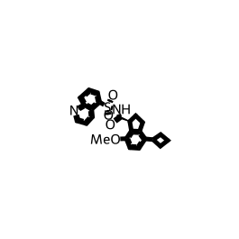 COc1ccc(C2CCC2)c2c1[C@@H](C(=O)NS(=O)(=O)c1cccc3ncccc13)CC2